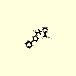 CC(C)(C(=O)N1CCC(c2ccncc2)C1)n1c[c]nc1C(N)=O